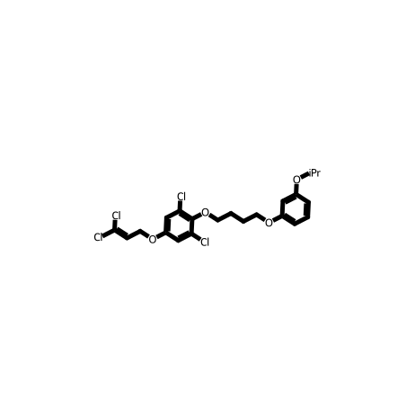 CC(C)Oc1cccc(OCCCCOc2c(Cl)cc(OCC=C(Cl)Cl)cc2Cl)c1